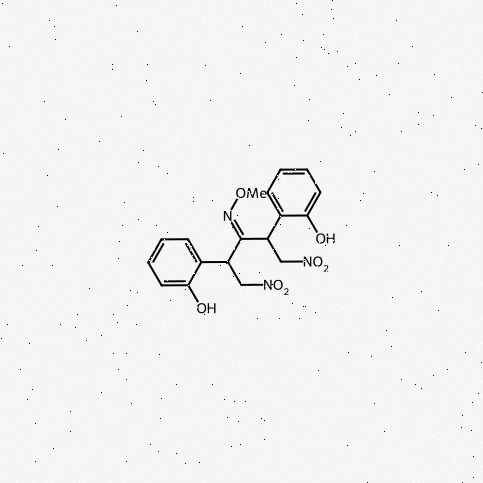 CON=C(C(C[N+](=O)[O-])c1ccccc1O)C(C[N+](=O)[O-])c1ccccc1O